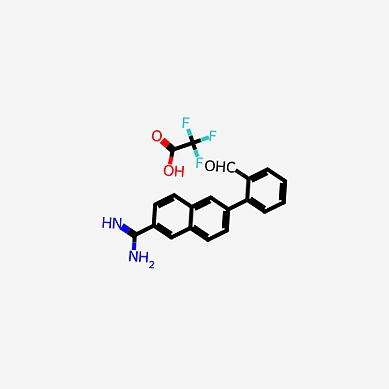 N=C(N)c1ccc2cc(-c3ccccc3C=O)ccc2c1.O=C(O)C(F)(F)F